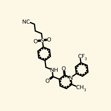 Cc1ccc(C(=O)NCc2ccc(S(=O)(=O)CCCC#N)cc2)c(=O)n1-c1cccc(C(F)(F)F)c1